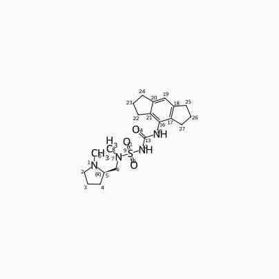 CN1CCC[C@@H]1CN(C)S(=O)(=O)NC(=O)Nc1c2c(cc3c1CCC3)CCC2